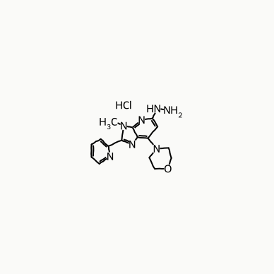 Cl.Cn1c(-c2ccccn2)nc2c(N3CCOCC3)cc(NN)nc21